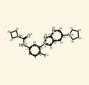 O=C(Nc1ccc(F)c(-n2cc3cc(N4CCCC4)cnc3n2)c1)N1CCC1